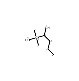 CCCC(O)[Si](C)(C)O